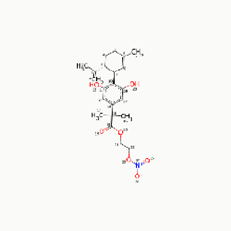 C=C(C)[C@@H]1CCC(C)=C[C@H]1c1c(O)cc(C(C)(C)C(=O)OCCO[N+](=O)[O-])cc1O